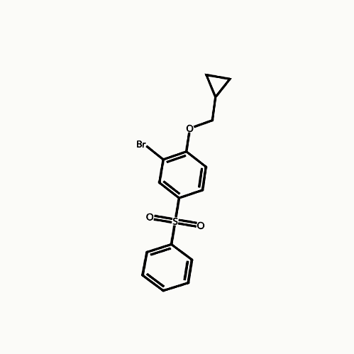 O=S(=O)(c1ccccc1)c1ccc(OCC2CC2)c(Br)c1